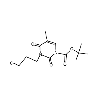 Cc1cn(C(=O)OC(C)(C)C)c(=O)n(CCCCl)c1=O